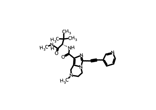 CNC(=O)[C@@H](NC(=O)c1nc(C#Cc2cccnc2)n2c1CN(C)CC2)C(C)(C)C